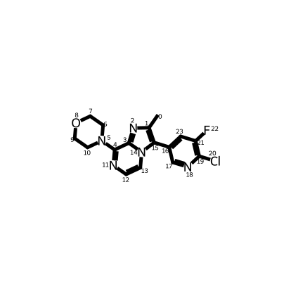 Cc1nc2c(N3CCOCC3)nccn2c1-c1cnc(Cl)c(F)c1